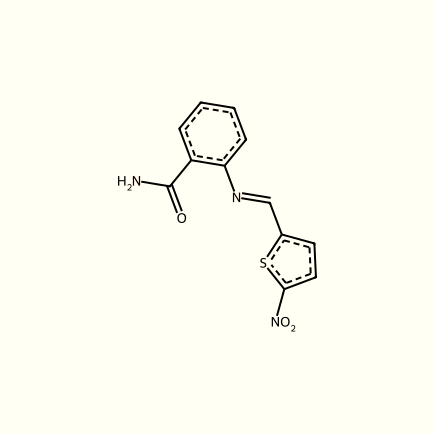 NC(=O)c1ccccc1N=Cc1ccc([N+](=O)[O-])s1